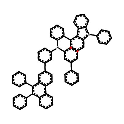 c1ccc(-c2cccc(N(c3cccc(-c4ccc5c(c4)c(-c4ccccc4)c(-c4ccccc4)c4ccccc45)c3)c3ccccc3-c3cccc4c3c3ccccc3n4-c3ccccc3)c2)cc1